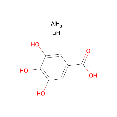 O=C(O)c1cc(O)c(O)c(O)c1.[AlH3].[LiH]